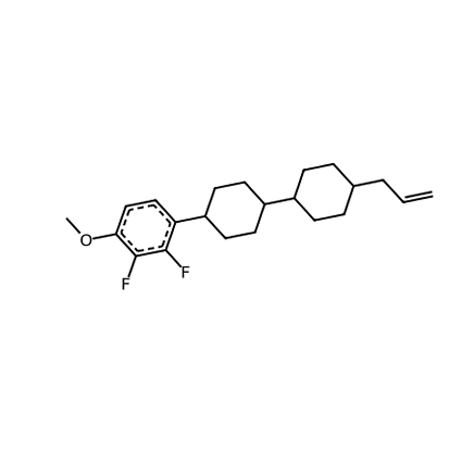 C=CCC1CCC(C2CCC(c3ccc(OC)c(F)c3F)CC2)CC1